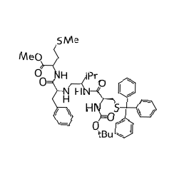 COC(=O)C(CCSC)NC(=O)C(Cc1ccccc1)NCC(NC(=O)[C@@H](CSC(c1ccccc1)(c1ccccc1)c1ccccc1)NC(=O)OC(C)(C)C)C(C)C